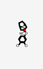 N#CCN1C2CCC1CC(Oc1ccc(Cl)c(Cl)c1)C2